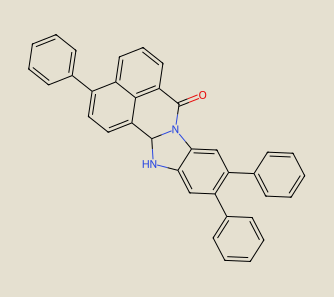 O=C1c2cccc3c(-c4ccccc4)ccc(c23)C2Nc3cc(-c4ccccc4)c(-c4ccccc4)cc3N12